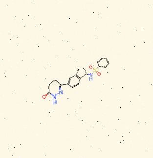 O=C1CCC(c2ccc3c(c2)CCC3NS(=O)(=O)c2ccccc2)=NN1